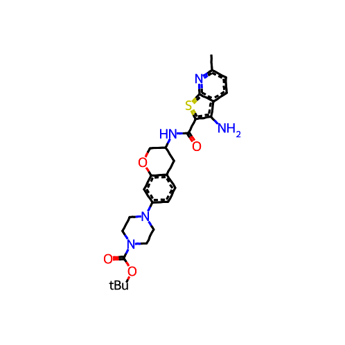 Cc1ccc2c(N)c(C(=O)NC3COc4cc(N5CCN(C(=O)OC(C)(C)C)CC5)ccc4C3)sc2n1